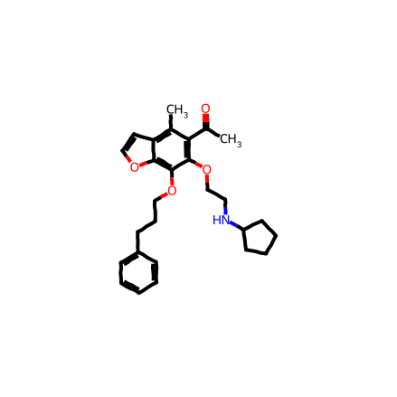 CC(=O)c1c(OCCNC2CCCC2)c(OCCCc2ccccc2)c2occc2c1C